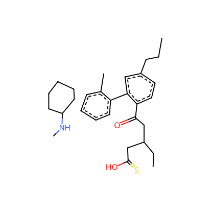 CCCc1ccc(C(=O)CC(CC)CC(O)=S)c(-c2ccccc2C)c1.CNC1CCCCC1